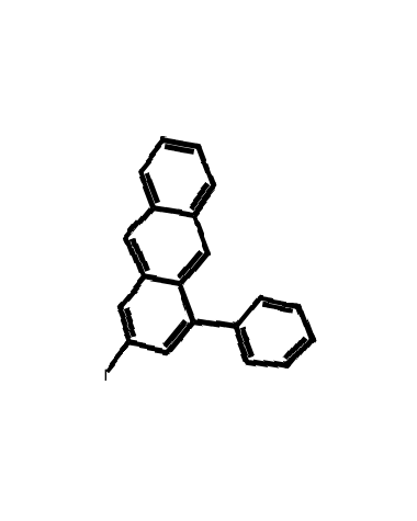 Ic1cc(-c2ccccc2)c2cc3ccccc3cc2c1